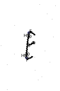 CCCCCC(F)(F)/C=C\CNC(=O)CCCCCCCC(CCCCCCCC(=O)NC/C=C\C(F)(F)CCCCC)OCCCCN(C)C